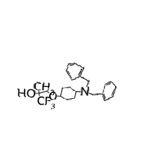 CC(O)(COC1CCC(N(Cc2ccccc2)Cc2ccccc2)CC1)C(F)(F)F